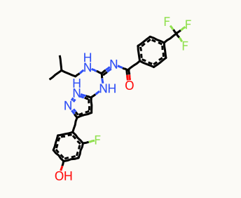 CC(C)CN/C(=N/C(=O)c1ccc(C(F)(F)F)cc1)Nc1cc(-c2ccc(O)cc2F)n[nH]1